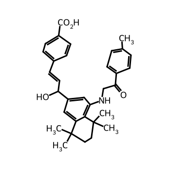 Cc1ccc(C(=O)CNc2cc(C(O)C=Cc3ccc(C(=O)O)cc3)cc3c2C(C)(C)CCC3(C)C)cc1